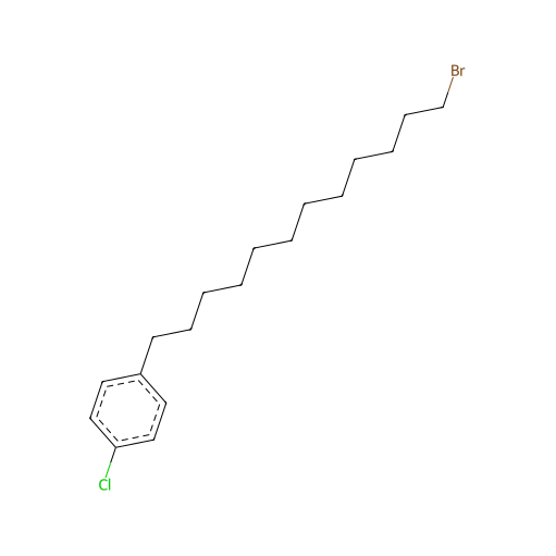 Clc1ccc(CCCCCCCCCCCCBr)cc1